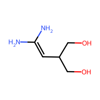 NC(N)=CC(CO)CO